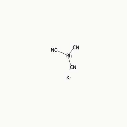 N#[C][Rh]([C]#N)[C]#N.[K]